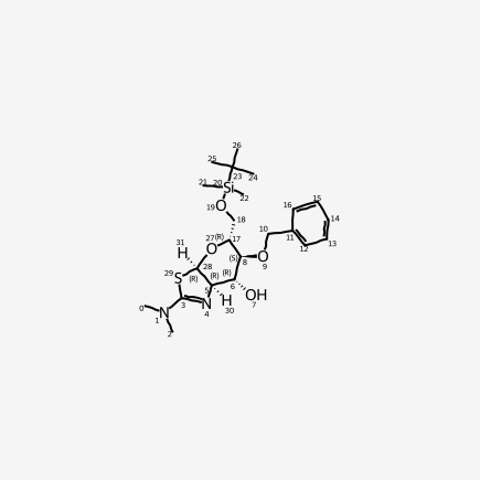 CN(C)C1=N[C@@H]2[C@@H](O)[C@H](OCc3ccccc3)[C@@H](CO[Si](C)(C)C(C)(C)C)O[C@@H]2S1